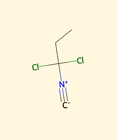 [C-]#[N+]C(Cl)(Cl)CC